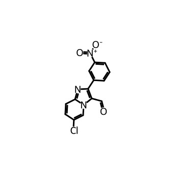 O=Cc1c(-c2cccc([N+](=O)[O-])c2)nc2ccc(Cl)cn12